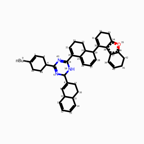 CCCCC1=CCC(C2=NC(C3=CC4C=CC=CC4CC3)NC(C3=CCCC4C3=CC=CC4C3=CCCc4oc5c(c43)C=CCC5)=N2)CC1